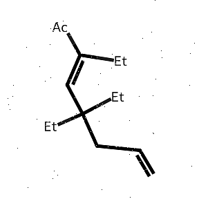 C=CCC(/C=C(\CC)C(C)=O)(CC)CC